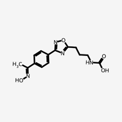 CC(=NO)c1ccc(-c2noc(CCCNC(=O)O)n2)cc1